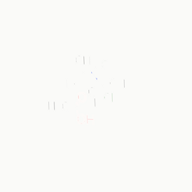 CC(=O)O.CC(C)N(Cl)C(C)(C)Cl